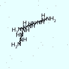 NCCNCCNCCNCCNCCNC(CN)NCCNCCNCCN